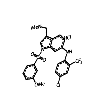 CNCc1cn(S(=O)(=O)c2cccc(OC)c2)c2cc(Nc3ccc(Cl)cc3C(F)(F)F)ccc12.Cl